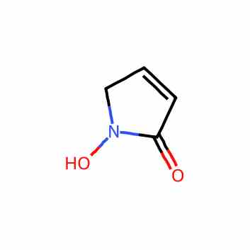 O=C1C=CCN1O